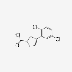 COC(=O)C1CCC(c2cc(Cl)ccc2Cl)C1